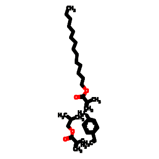 C=C(C)C(=O)OCC(C)C.C=C(C)C(=O)OCCCCCCCCCCCCCC.C=Cc1ccc(C)cc1